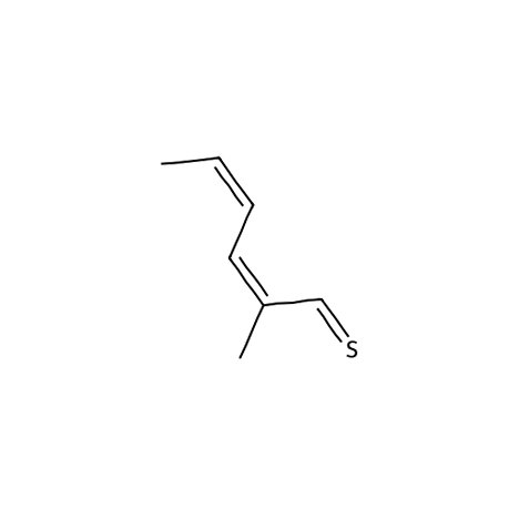 C/C=C\C=C(\C)C=S